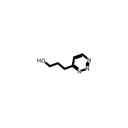 OCCCc1ccnnn1